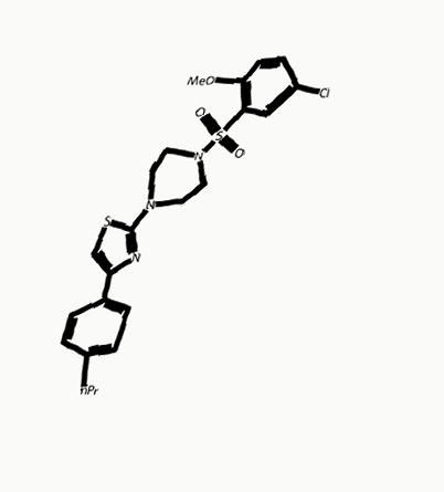 CCCc1ccc(-c2csc(N3CCN(S(=O)(=O)c4cc(Cl)ccc4OC)CC3)n2)cc1